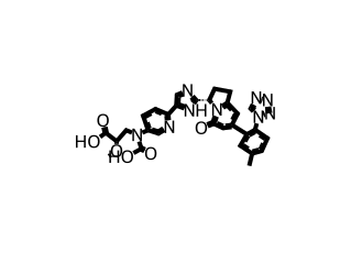 COC(CN(C(=O)O)c1ccc(-c2cnc([C@@H]3CCc4cc(-c5cc(C)ccc5-n5cnnn5)cc(=O)n43)[nH]2)nc1)C(=O)O